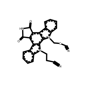 N#CCCn1c2ccccc2c2c3c(c4c5ccccc5n(CCC#N)c4c21)C(=O)NC3=O